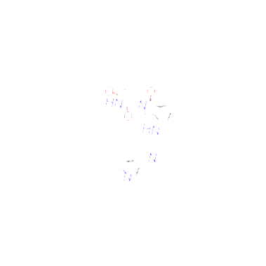 Cc1ccc(CN2CC(CNc3cccc4c3CN(C3CCC(=O)NC3=O)C4=O)C2)cn1